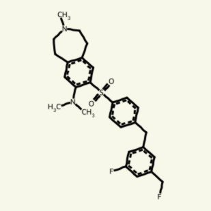 CN1CCc2cc(N(C)C)c(S(=O)(=O)c3ccc(Cc4cc(F)cc(CF)c4)cc3)cc2CC1